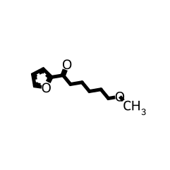 COCCCCCC(=O)c1ccco1